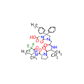 Cc1ccc(C2(c3ccccc3)CN(CC(=O)N[C@H](C(=O)N3CCC[C@H]3C(=O)N[C@H](C(=O)C(F)(F)F)C(C)C)C(C)C)C(=O)N2CC(=O)O)cc1